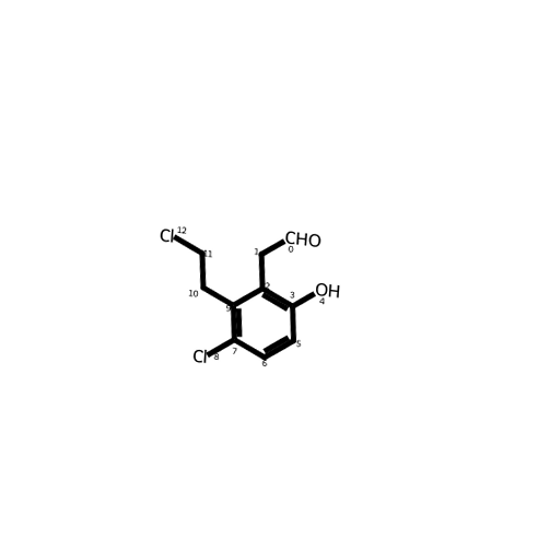 O=CCc1c(O)ccc(Cl)c1CCCl